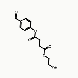 O=Cc1ccc(OC(=O)CCC(=O)OCCO)cc1